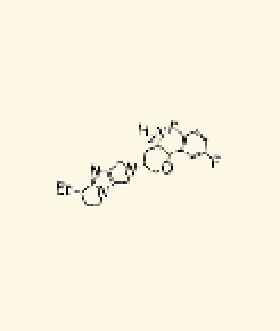 CCC1CCn2c1nc1c2CN([C@H]2CO[C@H](c3cc(F)ccc3F)[C@@H](N)C2)C1